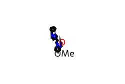 COc1ccc2c(c1)CC(=O)N2CCC1CCN(Cc2ccccc2)CC1